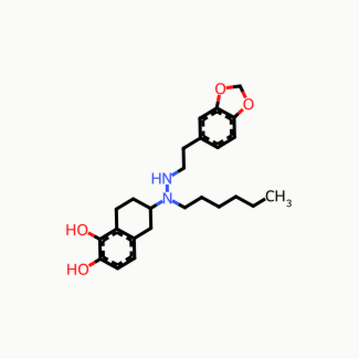 CCCCCCN(NCCc1ccc2c(c1)OCO2)C1CCc2c(ccc(O)c2O)C1